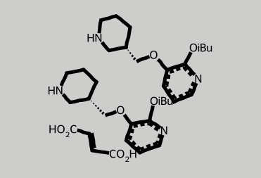 CC(C)COc1ncccc1OC[C@H]1CCCNC1.CC(C)COc1ncccc1OC[C@H]1CCCNC1.O=C(O)/C=C/C(=O)O